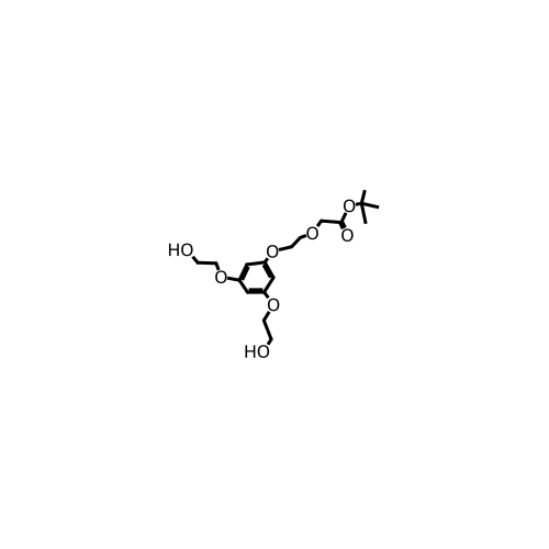 CC(C)(C)OC(=O)COCCOc1cc(OCCO)cc(OCCO)c1